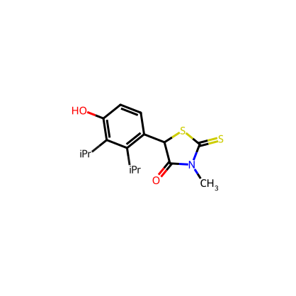 CC(C)c1c(O)ccc(C2SC(=S)N(C)C2=O)c1C(C)C